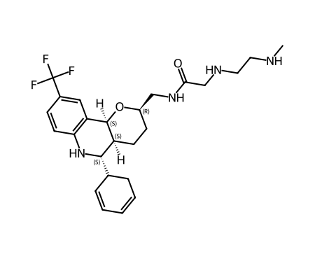 CNCCNCC(=O)NC[C@H]1CC[C@@H]2[C@H](O1)c1cc(C(F)(F)F)ccc1N[C@H]2C1C=CC=CC1